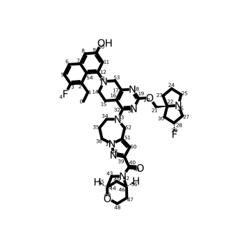 CCc1c(F)ccc2cc(O)cc(N3CCc4c(nc(OC[C@@]56CCCN5C[C@H](F)C6)nc4N4CCCn5nc(C(=O)N6C[C@H]7C[C@@H]6CCO7)cc5C4)C3)c12